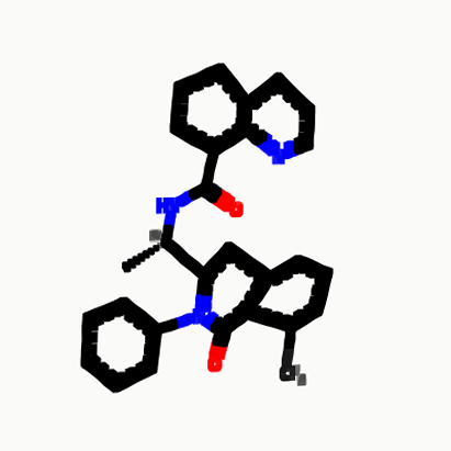 C[C@H](NC(=O)c1cccc2cccnc12)c1cc2cccc(C(F)(F)F)c2c(=O)n1-c1ccccc1